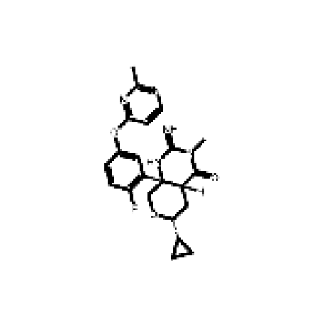 Cc1nccc(Oc2ccc(F)c([C@]34CO[C@@H](C5CC5)C[C@H]3C(=O)N(C)C(=N)N4)c2)n1